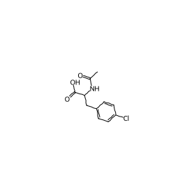 CC(=O)NC(Cc1ccc(Cl)cc1)C(=O)O